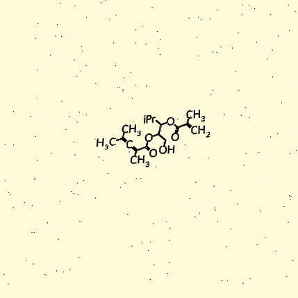 C=C(C)C(=O)OC(C(C)C)C(CO)OC(=O)C(C)=C=C(C)C